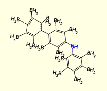 Bc1c(B)c(B)c(Nc2c(B)c(B)c(-c3c(B)c(B)c(B)c(B)c3B)c(B)c2B)c(B)c1B